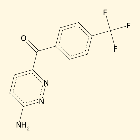 Nc1ccc(C(=O)c2ccc(C(F)(F)F)cc2)nn1